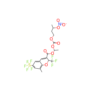 Cc1cc(S(F)(F)(F)(F)F)cc2c1OC(C(F)(F)F)C(C(=O)OC(C)OC(=O)OCCC(C)O[N+](=O)[O-])=C2